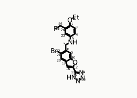 CCOc1ccc(NCc2cc3oc(-c4nnn[nH]4)cc3cc2Br)cc1CF